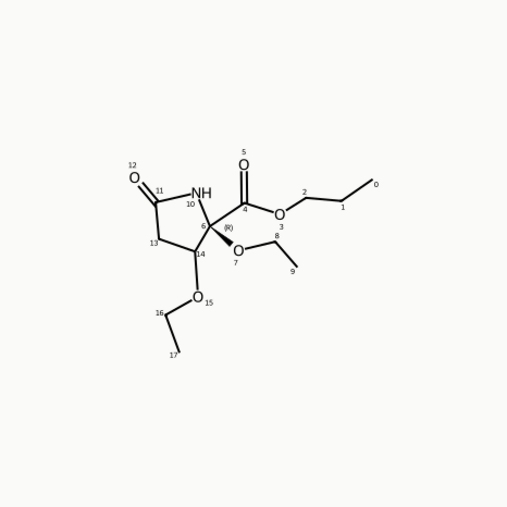 CCCOC(=O)[C@@]1(OCC)NC(=O)CC1OCC